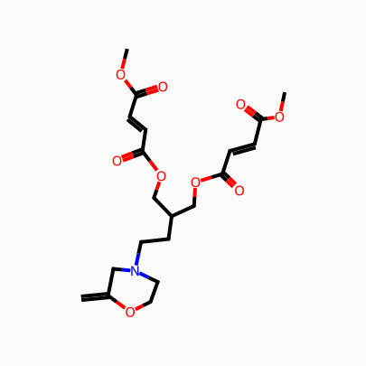 C=C1CN(CCC(COC(=O)/C=C/C(=O)OC)COC(=O)/C=C/C(=O)OC)CCO1